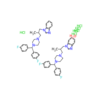 CC(CN1CCN(C(c2ccc(F)cc2)c2ccc(F)cc2)CC1)Cn1cnc2ccccc21.CC(CN1CCN(C(c2ccc(F)cc2)c2ccc(F)cc2)CC1)Cn1cnc2ccccc21.Cl.Cl.Cl.Cl.Cl.Cl.O